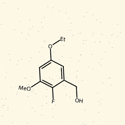 CCOc1cc(CO)c(F)c(OC)c1